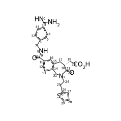 N=C(N)c1ccc(CNC(=O)c2ccc3c(c2)C[C@H](CC(=O)O)C(=O)N(CCc2cccs2)C3)cc1